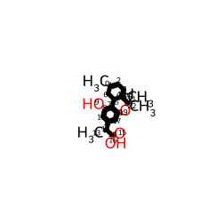 CC1=CC[C@@H]2C(C1)c1c(O)cc(C(C)C(=O)O)cc1OC2(C)C